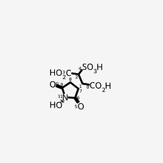 O=C(O)CC(C(=O)O)S(=O)(=O)O.O=C1CCC(=O)N1O